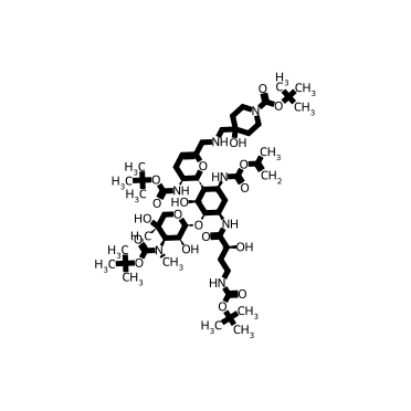 C=C(C)OC(=O)N[C@H]1C[C@@H](NC(=O)[C@@H](O)CCNC(=O)OC(C)(C)C)[C@H](O[C@H]2OC[C@](C)(O)[C@H](N(C)C(=O)OC(C)(C)C)[C@H]2O)[C@@H](O)C1[C@H]1OC(CNCC2(O)CCN(C(=O)OC(C)(C)C)CC2)=CC[C@H]1NC(=O)OC(C)(C)C